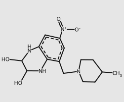 CC1CCN(Cc2cc([N+](=O)[O-])cc3c2NC(O)C(O)N3)CC1